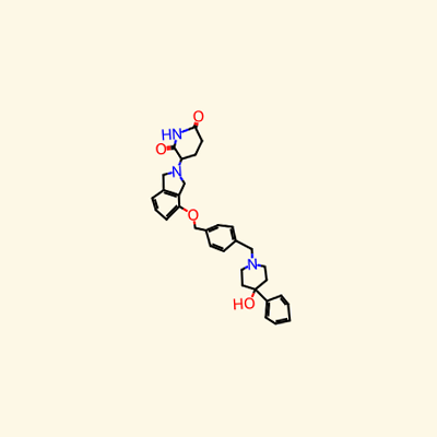 O=C1CCC(N2Cc3cccc(OCc4ccc(CN5CCC(O)(c6ccccc6)CC5)cc4)c3C2)C(=O)N1